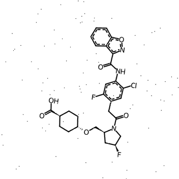 O=C(Nc1cc(F)c(CC(=O)N2C[C@@H](F)C[C@H]2CO[C@H]2CC[C@H](C(=O)O)CC2)cc1Cl)c1noc2ccccc12